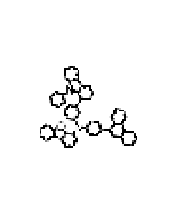 c1ccc(-n2c3ccccc3c3cccc(-c4cccc(N(c5ccc(-c6cc7ccccc7c7ccccc67)cc5)c5cccc6c5oc5ccccc56)c4)c32)cc1